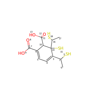 CC(S)C1=CC=C(C(=O)O)C(C(=O)O)C1(S)C(C)S